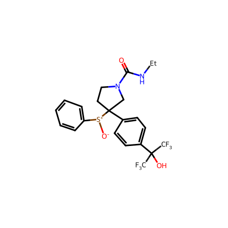 CCNC(=O)N1CCC(c2ccc(C(O)(C(F)(F)F)C(F)(F)F)cc2)([S+]([O-])c2ccccc2)C1